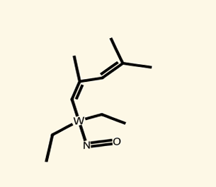 C[CH2][W]([CH]=C(C)C=C(C)C)([CH2]C)[N]=O